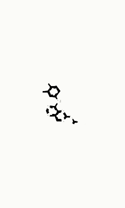 CC(=O)Nc1ncc2ncnc(Nc3ccc(F)c(Cl)c3)c2n1